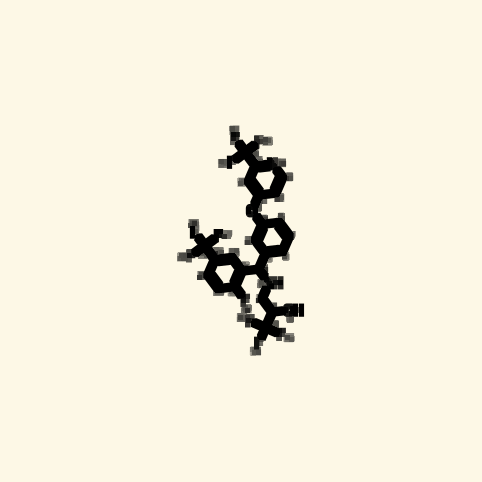 OC(CNC(c1cccc(Oc2ccnc(C(F)(F)F)c2)c1)c1cc(C(F)(F)F)ccc1F)C(F)(F)F